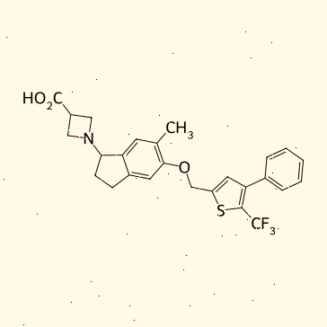 Cc1cc2c(cc1OCc1cc(-c3ccccc3)c(C(F)(F)F)s1)CCC2N1CC(C(=O)O)C1